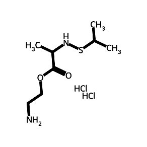 CC(C)SNC(C)C(=O)OCCN.Cl.Cl